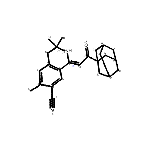 Cc1cc2c(cc1C#N)/C(=C/C(=O)C13CC4CC(CC(C4)C1)C3)NC(C)(C)C2